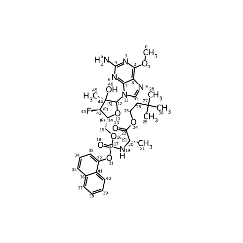 COc1nc(N)nc2c1ncn2C1O[C@H](COP(=O)(N[C@@H](C)C(=O)OCCC(C)(C)C)Oc2cccc3ccccc23)[C@@H](F)[C@@]1(C)O